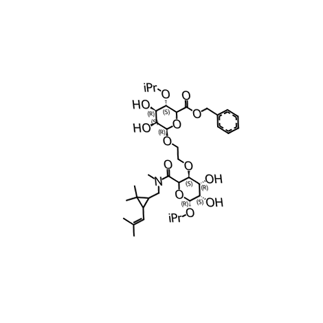 CC(C)=CC1C(CN(C)C(=O)C2O[C@@H](OC(C)C)[C@@H](O)[C@@H](O)[C@@H]2OCCO[C@@H]2OC(C(=O)OCc3ccccc3)[C@@H](OC(C)C)[C@H](O)[C@@H]2O)C1(C)C